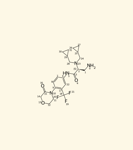 NC[C@@H](C(=O)Nc1ccc(N2CCOCC2=O)c(C(F)(F)F)c1)N(CC1CC1)CC1CC1